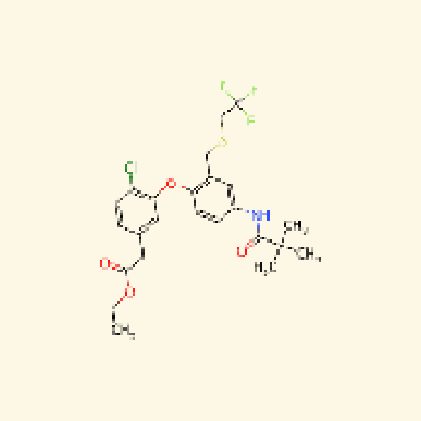 CCOC(=O)Cc1ccc(Cl)c(Oc2ccc(NC(=O)C(C)(C)C)cc2CSCC(F)(F)F)c1